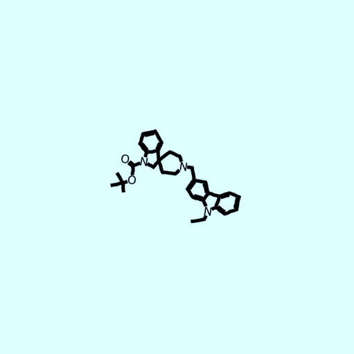 CCn1c2ccccc2c2cc(CN3CCC4(CC3)CN(C(=O)OC(C)(C)C)c3ccccc34)ccc21